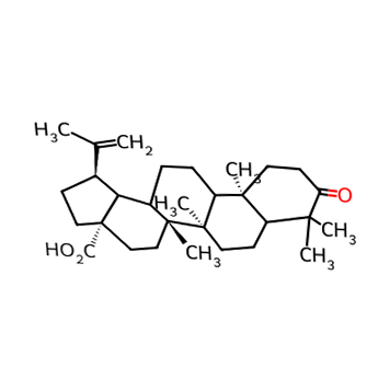 C=C(C)[C@@H]1CC[C@]2(C(=O)O)CC[C@]3(C)C(CCC4[C@@]5(C)CCC(=O)C(C)(C)C5CC[C@]43C)C12